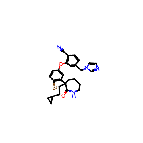 N#Cc1ccc(Cn2ccnc2)cc1Oc1ccc(Br)c(C2(CCC3CC3)CCCCNC2=O)c1